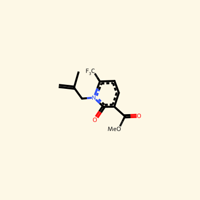 C=C(C)Cn1c(C(F)(F)F)ccc(C(=O)OC)c1=O